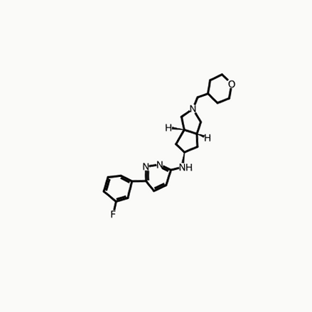 Fc1cccc(-c2ccc(N[C@H]3C[C@@H]4CN(CC5CCOCC5)C[C@@H]4C3)nn2)c1